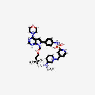 C[Si](C)(C)CCOCn1c(-c2ccc(NS(=O)(=O)c3cc(CN4CCCC(NC(=O)O)C4)ccn3)cc2)cc2c(N3CCOCC3)ncnc21